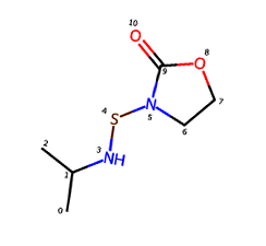 CC(C)NSN1CCOC1=O